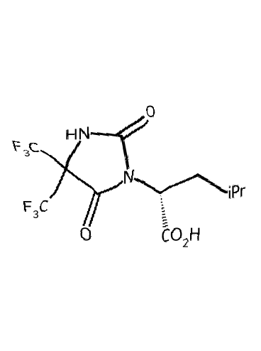 CC(C)C[C@H](C(=O)O)N1C(=O)NC(C(F)(F)F)(C(F)(F)F)C1=O